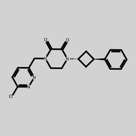 O=C1C(=O)N([C@H]2C[C@H](c3ccccc3)C2)CCN1Cc1ccc(Cl)nn1